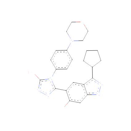 Oc1cc2[nH]nc(C3CCCC3)c2cc1-c1nnc(O)n1-c1ccc(N2CCOCC2)cc1